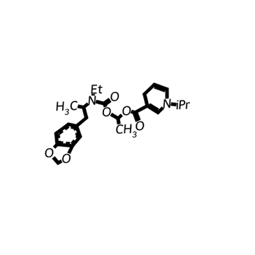 CCN(C(=O)OC(C)OC(=O)C1=CN(C(C)C)C=CC1)C(C)Cc1ccc2c(c1)OCO2